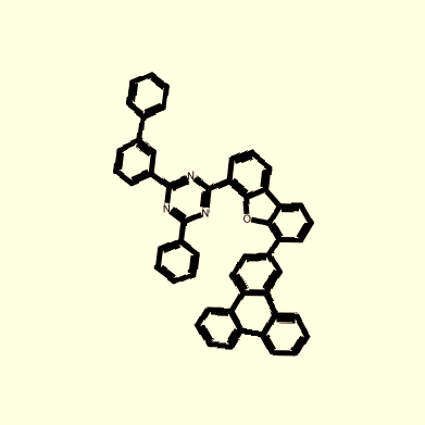 c1ccc(-c2cccc(-c3nc(-c4ccccc4)nc(-c4cccc5c4oc4c(-c6ccc7c8ccccc8c8ccccc8c7c6)cccc45)n3)c2)cc1